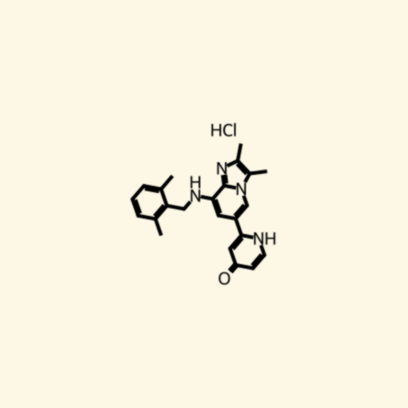 Cc1cccc(C)c1CNc1cc(-c2cc(=O)cc[nH]2)cn2c(C)c(C)nc12.Cl